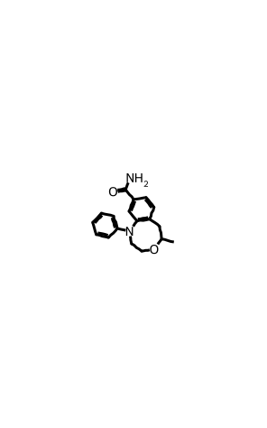 CC1Cc2ccc(C(N)=O)cc2N(c2ccccc2)CCO1